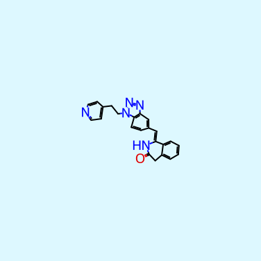 O=C1Cc2ccccc2C(=Cc2ccc3c(c2)nnn3CCc2ccncc2)N1